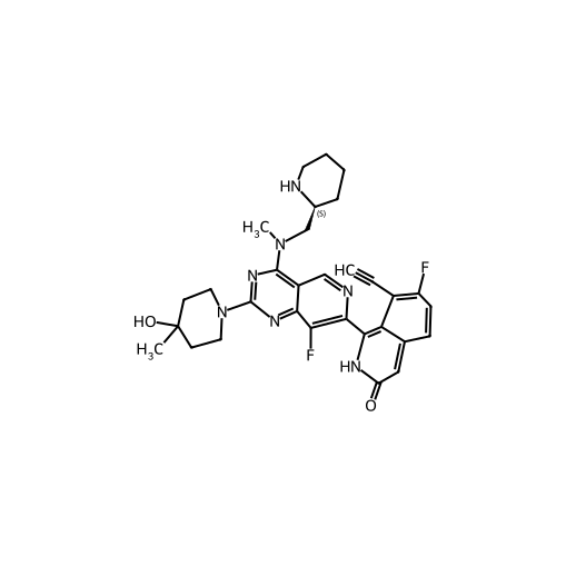 C#Cc1c(F)ccc2cc(=O)[nH]c(-c3ncc4c(N(C)C[C@@H]5CCCCN5)nc(N5CCC(C)(O)CC5)nc4c3F)c12